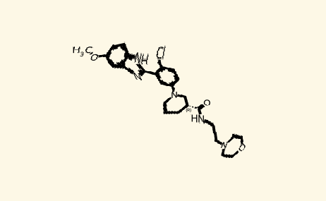 COc1ccc2[nH]c(-c3cc(N4CCC[C@@H](C(=O)NCCN5CCOCC5)C4)ccc3Cl)nc2c1